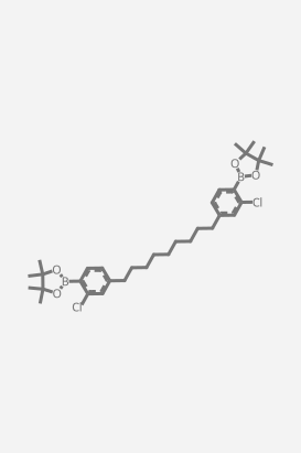 CC1(C)OB(c2ccc(CCCCCCCCCc3ccc(B4OC(C)(C)C(C)(C)O4)c(Cl)c3)cc2Cl)OC1(C)C